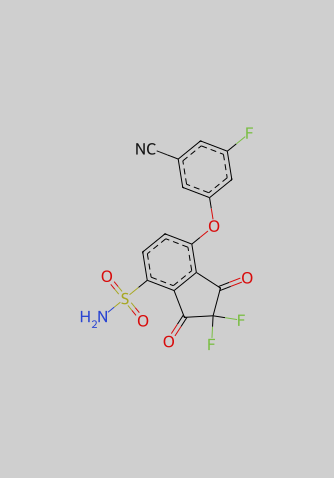 N#Cc1cc(F)cc(Oc2ccc(S(N)(=O)=O)c3c2C(=O)C(F)(F)C3=O)c1